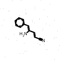 N#CC=CC(N)=Cc1ccccc1